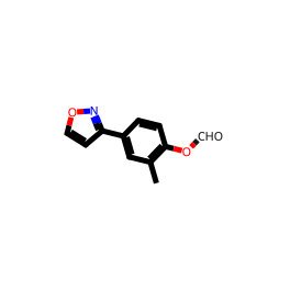 Cc1cc(-c2ccon2)ccc1OC=O